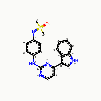 CS(C)(=O)=Nc1ccc(Nc2nccc(-c3c[nH]c4ccccc34)n2)cc1